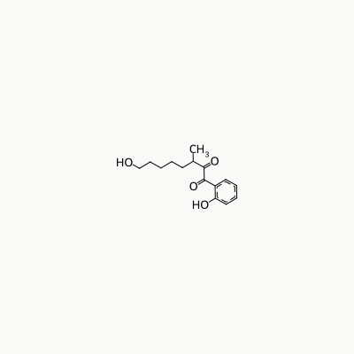 CC(CCCCCO)C(=O)C(=O)c1ccccc1O